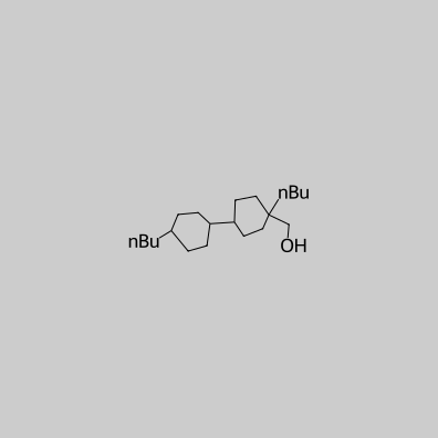 CCCCC1CCC(C2CCC(CO)(CCCC)CC2)CC1